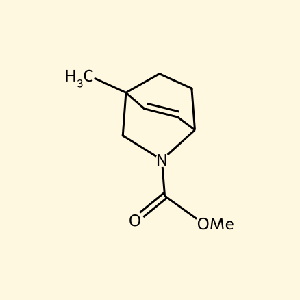 COC(=O)N1CC2(C)C=CC1CC2